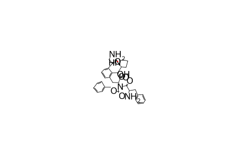 NCC(=O)c1cccc(CC(C(=O)O)N(C(=O)OCc2ccccc2)C(=O)C(N)Cc2ccccc2)c1C(=O)C1CCCN1